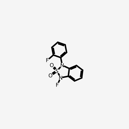 O=S1(=O)N(F)c2ccccc2N1c1ccccc1F